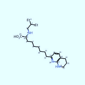 CCC(CC)CN[C@@H](CCCCCCCc1ccc2c(n1)NCCC2)C(=O)O